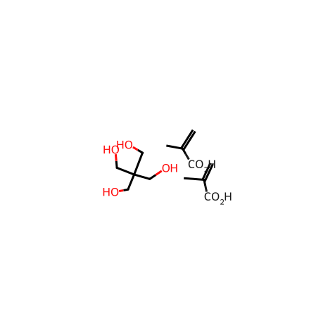 C=C(C)C(=O)O.C=C(C)C(=O)O.OCC(CO)(CO)CO